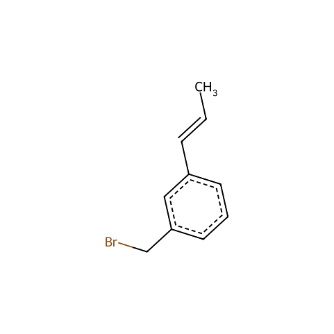 CC=Cc1cccc(CBr)c1